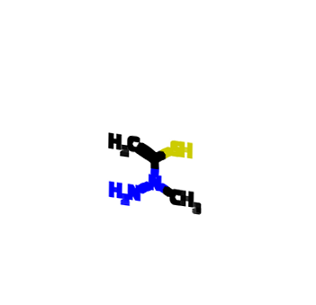 C=C(S)N(C)N